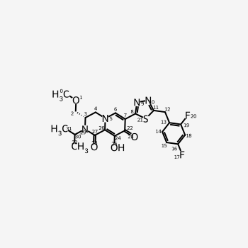 COC[C@@H]1Cn2cc(-c3nnc(Cc4ccc(F)cc4F)s3)c(=O)c(O)c2C(=O)N1C(C)C